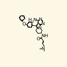 CN(C)C/C=C/C(=O)N[C@@H]1CCc2c(-c3ccc(Oc4ccccc4)cc3)c3c(N)ncnc3n2C1